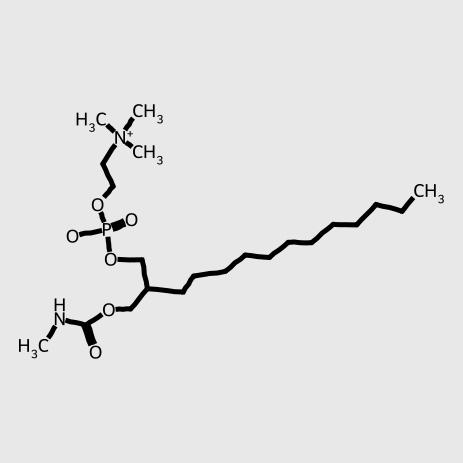 CCCCCCCCCCCCC(COC(=O)NC)COP(=O)([O-])OCC[N+](C)(C)C